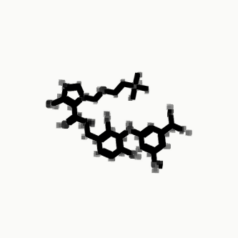 C[Si](C)(C)CCOCn1cnc(Cl)c1C(=O)NCc1ccc(Cl)c(Oc2cc(C#N)cc(C(F)F)c2)c1F